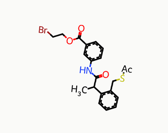 CC(=O)SCc1ccccc1C(C)C(=O)Nc1cccc(C(=O)OCCBr)c1